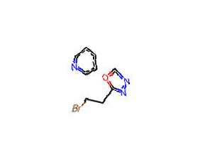 BrCCc1nnco1.c1ccncc1